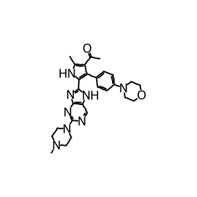 CC(=O)c1c(C)[nH]c(-c2nc3nc(N4CCN(C)CC4)ncc3[nH]2)c1-c1ccc(N2CCOCC2)cc1